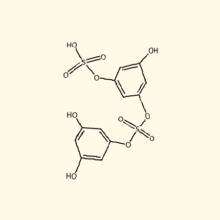 O=S(=O)(O)Oc1cc(O)cc(OS(=O)(=O)Oc2cc(O)cc(O)c2)c1